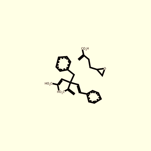 C=C(C(=O)O)C(C=Cc1ccccc1)(C=C(C)C(=O)O)Cc1ccccc1.C=C(CCC1CO1)C(=O)O